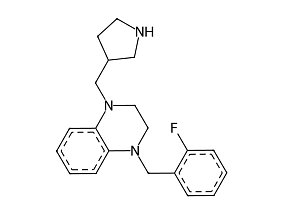 Fc1ccccc1CN1CCN(CC2CCNC2)c2ccccc21